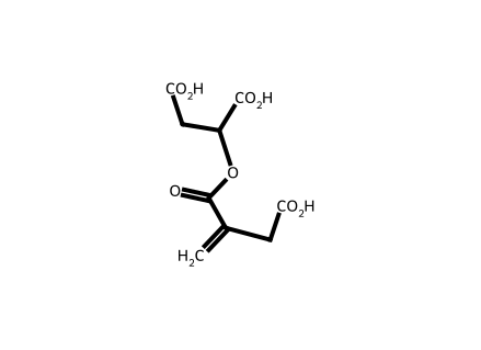 C=C(CC(=O)O)C(=O)OC(CC(=O)O)C(=O)O